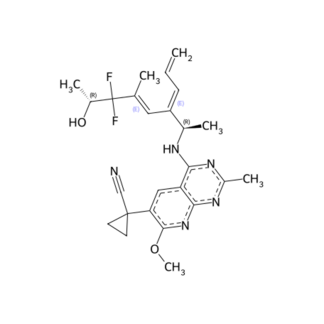 C=C/C=C(\C=C(/C)C(F)(F)[C@@H](C)O)[C@@H](C)Nc1nc(C)nc2nc(OC)c(C3(C#N)CC3)cc12